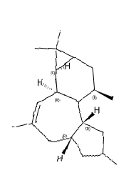 CC1=C[C@@H]2C([C@H](C)CC3[C@@H]2C3(C)C)[C@@H]2CC(C)C[C@@H]2C1